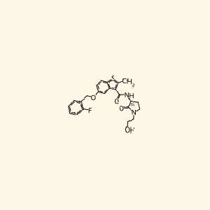 Cc1sc2ccc(OCc3ccccc3F)cc2c1C(=O)N[C@H]1CCN(CCO)C1=O